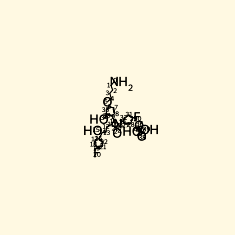 NCCCCOc1ccc(C2C(CCC(O)c3ccc(F)cc3)C(=O)N2c2ccc(F)cc2)c(O)c1.O=S(=O)(O)O